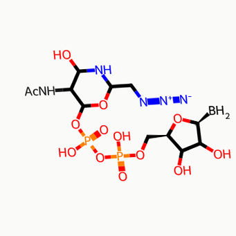 B[C@@H]1O[C@H](COP(=O)(O)OP(=O)(O)OC2OC(CN=[N+]=[N-])NC(O)C2NC(C)=O)C(O)C1O